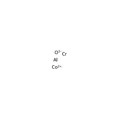 [Al].[Co+2].[Cr].[O-2]